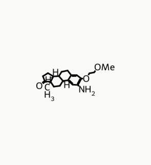 COCCOc1cc2c(cc1N)[C@H]1CC[C@]3(C)C(=O)CC[C@H]3[C@@H]1CC2